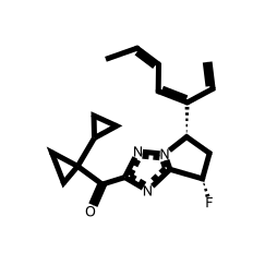 C=CC(=C/C=C\C)[C@@H]1C[C@H](F)c2nc(C(=O)C3(C4CC4)CC3)nn21